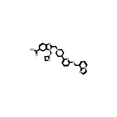 O=C(O)C1C=Cc2nc(CN3CCC(c4cccc(OCc5cccn6ccnc56)n4)CC3)n(C[C@@H]3CCO3)c2C1